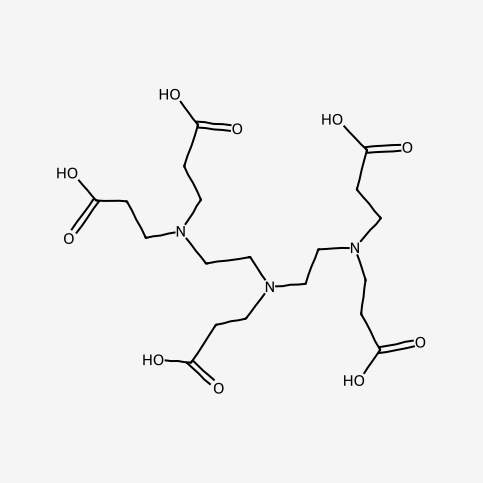 O=C(O)CCN(CCC(=O)O)CCN(CCC(=O)O)CCN(CCC(=O)O)CCC(=O)O